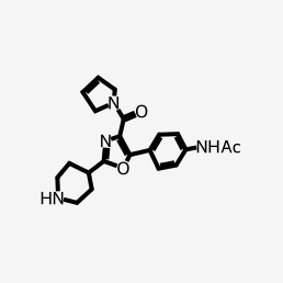 CC(=O)Nc1ccc(-c2oc(C3CCNCC3)nc2C(=O)N2CC=CC2)cc1